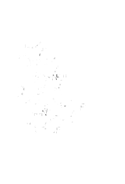 Fc1cc(F)c2c(c1)C1C/C=C/[n+]3ccc(-c4ccccc4)cc3-c3ccccc3CC1[n+]1ccccc1-2